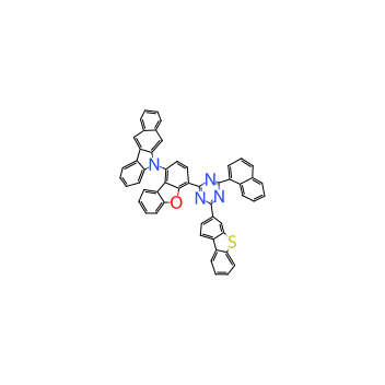 c1ccc2cc3c(cc2c1)c1ccccc1n3-c1ccc(-c2nc(-c3ccc4c(c3)sc3ccccc34)nc(-c3cccc4ccccc34)n2)c2oc3ccccc3c12